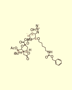 CC[C@@H](C)[C@@H](OC(C)=O)C1O[C@@](OCC2C[C@@H](OCCCCCNC(=O)OCc3ccccc3)C(N=[N+]=[N-])[C@@H](O)[C@H]2C)(C(=O)OC)C[C@H]2OC(=O)C[C@@H]12